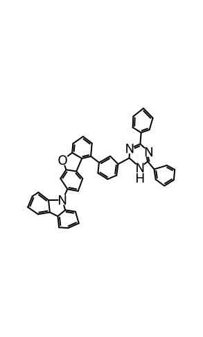 c1ccc(C2=NC(c3cccc(-c4cccc5oc6cc(-n7c8ccccc8c8ccccc87)ccc6c45)c3)NC(c3ccccc3)=N2)cc1